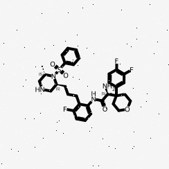 C[C@H]1CNC[C@H](CCCc2c(F)cccc2NC(=O)[C@@H](N)C2(c3ccc(F)c(F)c3)CCOCC2)N1S(=O)(=O)c1ccccc1